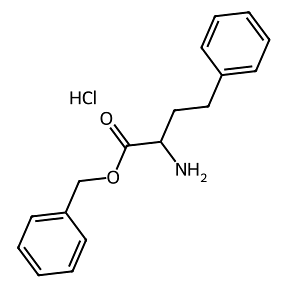 Cl.NC(CCc1ccccc1)C(=O)OCc1ccccc1